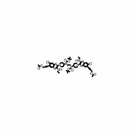 CCNc1nc2cc(C#CCOC(C)=O)c(Cl)cc2nc1N1CCC(N(CCN(C(=O)OC(C)(C)C)C2CCN(c3nc4cc(C#CCOC(C)=O)c(Cl)cc4nc3NCC)CC2)C(=O)OC(C)(C)C)CC1